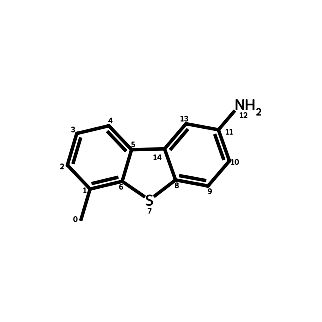 Cc1cccc2c1sc1ccc(N)cc12